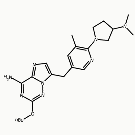 CCCCOc1nc(N)c2ncc(Cc3cnc(N4CCC(N(C)C)C4)c(C)c3)n2n1